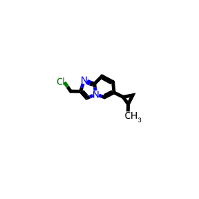 CC1CC1c1ccc2nc(CCl)cn2c1